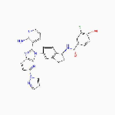 Nc1ncccc1-c1nc2ccc(-n3cccn3)nc2n1-c1ccc2c(c1)CC[C@@H]2NC(=O)c1ccc(O)c(F)c1